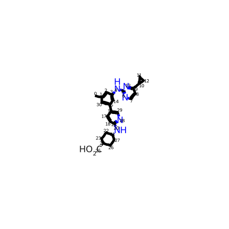 Cc1cc(Nc2nccc(C3CC3)n2)cc(-c2ccc(N[C@H]3CC[C@H](C(=O)O)CC3)nc2)c1